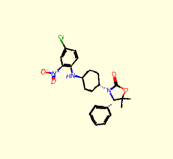 CC1(C)OC(=O)N([C@H]2CC[C@H](Nc3ccc(Cl)cc3[N+](=O)[O-])CC2)[C@H]1c1ccccc1